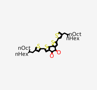 CCCCCCCCC(CCCCCC)Cc1csc(-c2cc3c(s2)-c2sc(-c4cc(CC(CCCCCC)CCCCCCCC)cs4)cc2C(=O)C3=O)c1